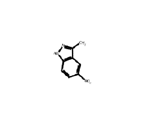 [CH2]c1n[nH]c2ccc([N+](=O)[O-])cc12